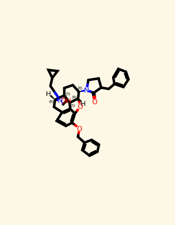 O=C1C(Cc2ccccc2)CCN1[C@@H]1CC[C@@]2(O)[C@H]3Cc4ccc(OCc5ccccc5)c5c4[C@@]2(CCN3CC2CC2)[C@H]1O5